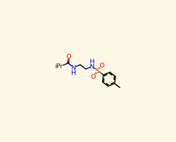 Cc1ccc(S(=O)(=O)NCCNC(=O)C(C)C)cc1